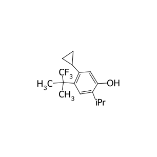 CC(C)c1cc(C(C)(C)C(F)(F)F)c(C2CC2)cc1O